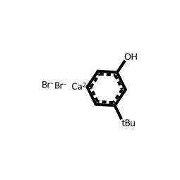 CC(C)(C)c1cccc(O)c1.[Br-].[Br-].[Ca+2]